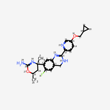 C[C@@]1(c2cc3c(cc2F)CNC(c2ccc(OCC4CC4)cn2)=N3)C[C@@H](C(F)(F)F)OC(N)=N1